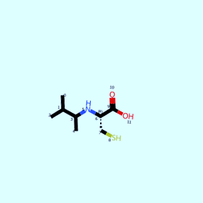 CC(C)C(C)N[C@@H](CS)C(=O)O